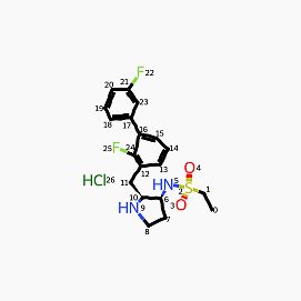 CCS(=O)(=O)N[C@H]1CCN[C@H]1Cc1cccc(-c2cccc(F)c2)c1F.Cl